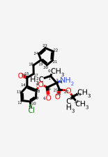 CC(C)C(N)(C(=O)Oc1cc(Cl)ccc1C(=O)CCc1ccccc1)C(=O)OC(C)(C)C